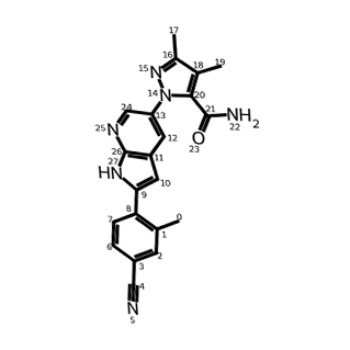 Cc1cc(C#N)ccc1-c1cc2cc(-n3nc(C)c(C)c3C(N)=O)cnc2[nH]1